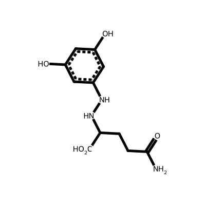 NC(=O)CCC(NNc1cc(O)cc(O)c1)C(=O)O